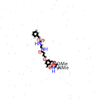 CNC[C@H](NS(=O)(=O)c1c(C)cc(OCCCC(=O)NCCNC(=O)OCc2ccccc2)cc1C)C(=O)OC